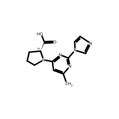 Cc1cc(N2CCC[C@@H]2C(=O)O)nc(-n2ccnc2)n1